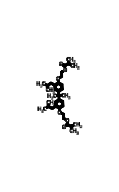 C=C(C)Cc1cc(C(C)(C)c2ccc(OCCOC(=O)C(=C)C)c(CC(=C)C)c2)ccc1OCCOC(=O)C(=C)C